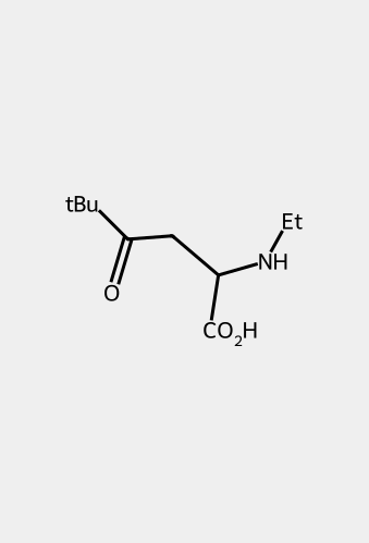 CCNC(CC(=O)C(C)(C)C)C(=O)O